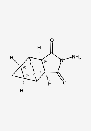 NN1C(=O)[C@@H]2C3CCC([C@H]4C[C@@H]34)[C@@H]2C1=O